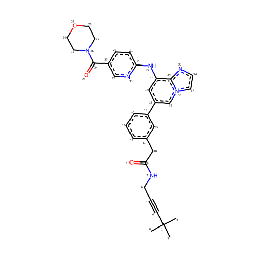 CC(C)(C)C#CCNC(=O)Cc1cccc(-c2cc(Nc3ccc(C(=O)N4CCOCC4)cn3)c3nccn3c2)c1